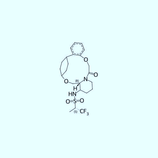 C[C@@H](C(F)(F)F)S(=O)(=O)NC1CCCN2C(=O)COc3ccccc3C3CCC(CC3)OC[C@@H]12